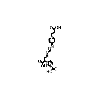 O=C(O)CCn1ccc(=NN=CN=NCC(C(=O)O)[n+]2ccn(C(=O)O)c2)cc1